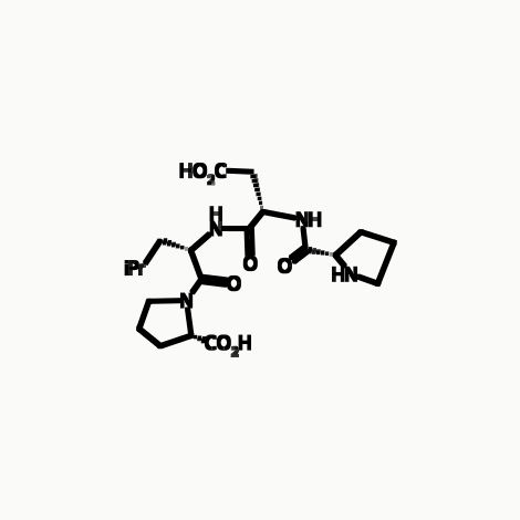 CC(C)C[C@H](NC(=O)[C@H](CC(=O)O)NC(=O)[C@@H]1CCCN1)C(=O)N1CCC[C@H]1C(=O)O